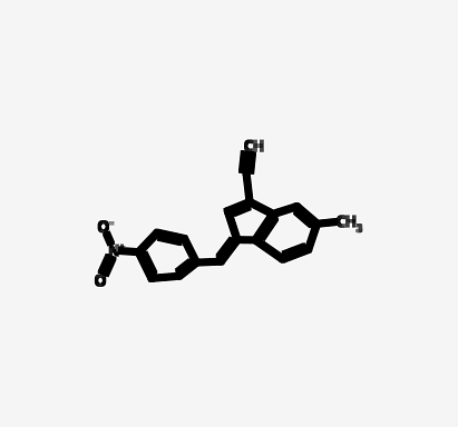 C#CC1=CC(=Cc2ccc([N+](=O)[O-])cc2)c2ccc(C)cc21